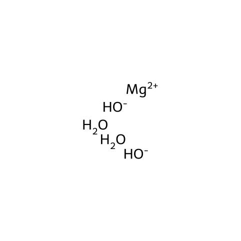 O.O.[Mg+2].[OH-].[OH-]